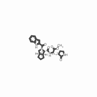 COC(=O)[C@H](C[C@@H]1CCNC1=O)NC(=O)[C@@H]1[C@H]2CCC[C@H]2CN1C(=O)c1cc2ccccc2[nH]1